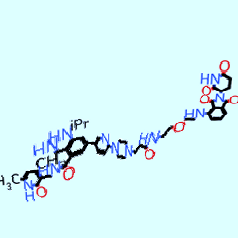 Cc1cc(C)c(CNC(=O)c2cc(-c3ccc(N4CCN(CCC(=O)NCCOCCNc5cccc6c5C(=O)N(C5CCC(=O)NC5=O)C6=O)CC4)nc3)cc(NC(C)C)c2C=N)c(=O)[nH]1